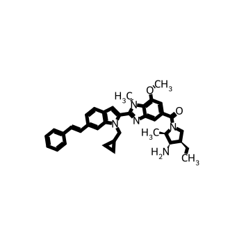 CC[C@@H]1CN(C(=O)c2cc(OC)c3c(c2)nc(-c2cc4ccc(/C=C/c5ccccc5)cc4n2CC2CC2)n3C)[C@H](C)[C@H]1N